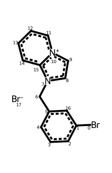 Brc1cccc(Cn2cc[n+]3ccccc23)c1.[Br-]